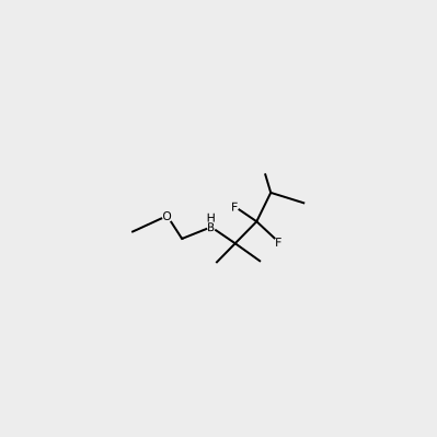 COCBC(C)(C)C(F)(F)C(C)C